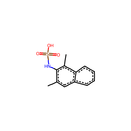 Cc1cc2ccccc2c(C)c1NS(=O)(=O)O